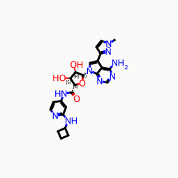 Cn1ccc(-c2cn([C@@H]3O[C@H](C(=O)Nc4ccnc(NC5CCC5)c4)[C@@H](O)[C@H]3O)c3ncnc(N)c23)n1